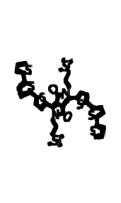 C[Si](C)(C)CCCN1C(=O)C2=C(c3ccc(-c4ccc(-c5cccs5)s4)s3)N(CCC[Si](C)(C)C)C(=O)C2=C1c1ccc(-c2ccc(-c3cccs3)s2)s1